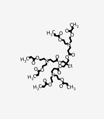 C=CC(=O)OCCN(CCOC(=O)C=C)CCC(=O)OCC(CC)(COC(=O)CCN(CCOC(=O)C=C)CCOC(=O)C=C)COC(=O)CCN(CCOC(=O)C=C)CCOC(=O)C=C